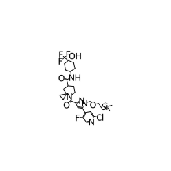 C[Si](C)(C)CCOCn1nc(C(=O)N2CCC(C(=O)N[C@H]3CC[C@@](O)(C(F)(F)F)CC3)CC23CC3)cc1-c1cc(Cl)ncc1F